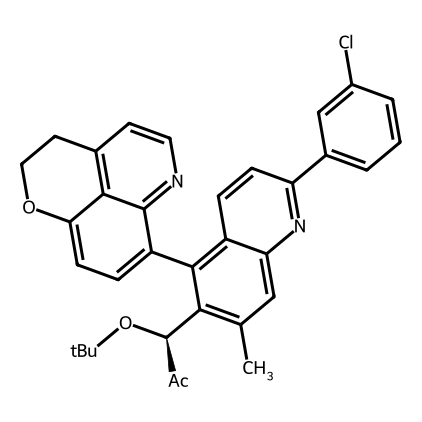 CC(=O)[C@@H](OC(C)(C)C)c1c(C)cc2nc(-c3cccc(Cl)c3)ccc2c1-c1ccc2c3c(ccnc13)CCO2